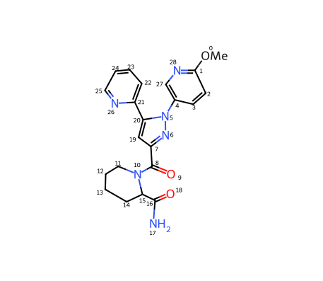 COc1ccc(-n2nc(C(=O)N3CCCCC3C(N)=O)cc2-c2ccccn2)cn1